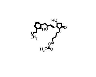 COCc1cccc(C[C@H](O)/C=C/[C@H]2[C@H](O)CC(=O)[C@@H]2SCCCSOC(C)=O)c1